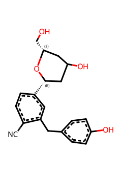 N#Cc1ccc([C@H]2CC(O)C[C@@H](CO)O2)cc1Cc1ccc(O)cc1